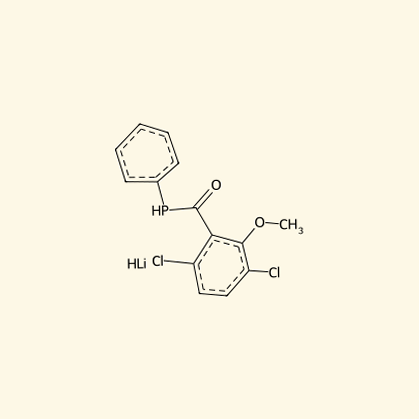 COc1c(Cl)ccc(Cl)c1C(=O)Pc1ccccc1.[LiH]